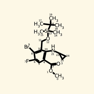 COC(=O)c1cc(F)c(Br)c(CO[Si](C)(C)C(C)(C)C)c1NC1CC1